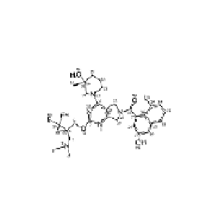 CN(C)C[C@@]1(COc2nc3c(c(N4CCC[C@@](C)(O)C4)n2)CN(C(=O)c2cc(O)cc4cccc(I)c24)C3)CC1(F)F